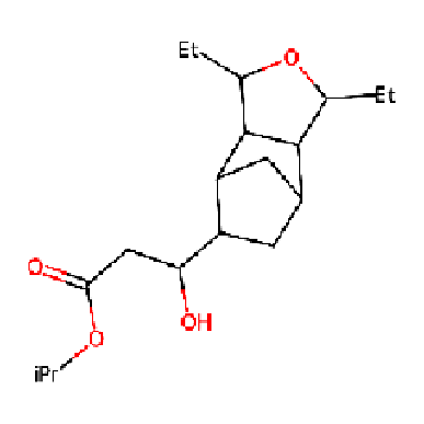 CCC1OC(CC)C2C3CC(CC3C(O)CC(=O)OC(C)C)C12